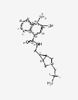 CC(C)(O)CN1CC2C(CNC(=O)c3cc(Cl)c(N)c4cccnc34)C2C1